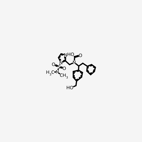 CN(C)S(=O)(=O)n1ccnc1CN(C(=O)O)C(Cc1ccccc1)c1ccc(CO)cc1